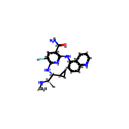 C[C@H](NC(=O)O)[C@H](Nc1nc(Nc2cccc3ncccc23)c(C(N)=O)cc1F)C1CC1